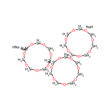 O1[SiH2]O[SiH2]O[SiH2]O[SiH2]O[SiH2]O[SiH2]O[SiH2]1.O1[SiH2]O[SiH2]O[SiH2]O[SiH2]O[SiH2]O[SiH2]O[SiH2]1.O1[SiH2]O[SiH2]O[SiH2]O[SiH2]O[SiH2]O[SiH2]O[SiH2]1.[NaH].[NaH].[NaH]